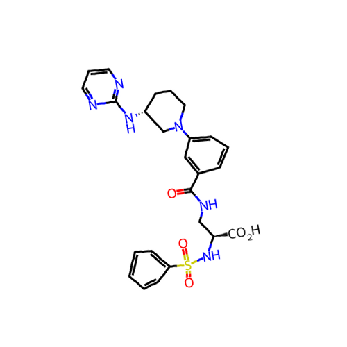 O=C(NC[C@H](NS(=O)(=O)c1ccccc1)C(=O)O)c1cccc(N2CCC[C@@H](Nc3ncccn3)C2)c1